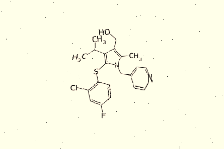 Cc1c(CO)c(C(C)C)c(Sc2ccc(F)cc2Cl)n1Cc1ccncc1